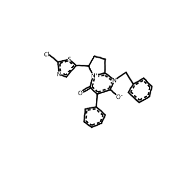 O=c1c(-c2ccccc2)c([O-])n(Cc2ccccc2)c2[n+]1C(c1cnc(Cl)s1)CC2